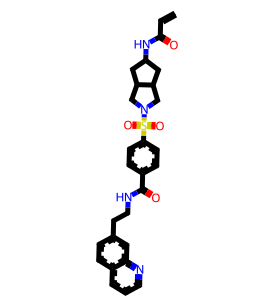 C=CC(=O)NC1CC2CN(S(=O)(=O)c3ccc(C(=O)NCCc4ccc5cccnc5c4)cc3)CC2C1